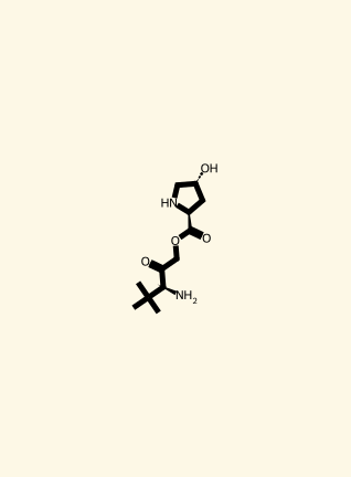 CC(C)(C)[C@H](N)C(=O)COC(=O)[C@@H]1C[C@@H](O)CN1